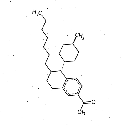 CCCCCCCC1CCc2cc(C(=O)O)ccc2C1[C@H]1CC[C@H](C)CC1